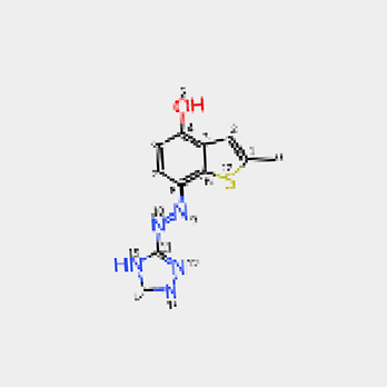 Cc1cc2c(O)ccc(/N=N/c3nnc[nH]3)c2s1